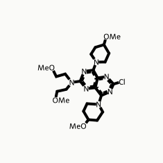 COCCN(CCOC)c1nc(N2CCC(OC)CC2)c2nc(Cl)nc(N3CCC(OC)CC3)c2n1